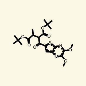 COc1nc2cc(C(=O)C(C(=O)OC(C)(C)C)C(C)C(=O)OC(C)(C)C)sc2nc1OC